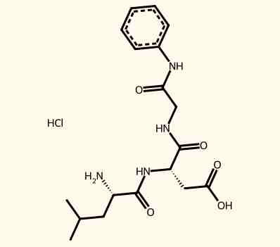 CC(C)C[C@H](N)C(=O)N[C@@H](CC(=O)O)C(=O)NCC(=O)Nc1ccccc1.Cl